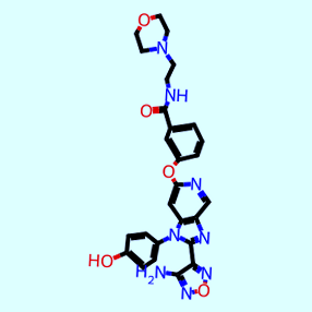 Nc1nonc1-c1nc2cnc(Oc3cccc(C(=O)NCCN4CCOCC4)c3)cc2n1-c1ccc(O)cc1